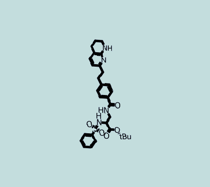 CC(C)(C)OC(=O)C(CNC(=O)c1ccc(CCc2ccc3c(n2)NCCC3)cc1)NS(=O)(=O)c1ccccc1